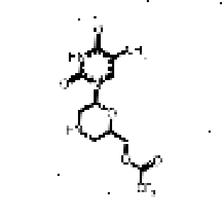 Cc1cn(C2CNCC(COC(=O)C(F)(F)F)O2)c(=O)[nH]c1=O